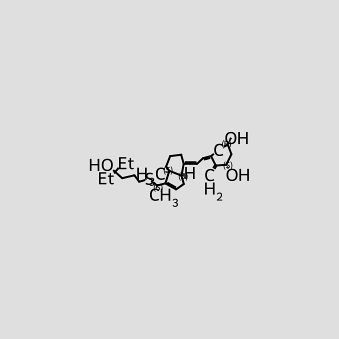 C=C1C(=CC=C2CCC[C@]3(C)C([C@H](C)SCCCC(O)(CC)CC)=CC[C@@H]23)C[C@@H](O)C[C@@H]1O